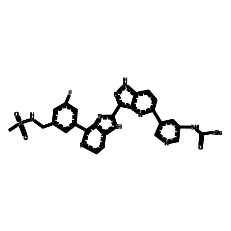 CCCCC(=O)Nc1cncc(-c2ccc3[nH]nc(-c4nc5c(-c6cc(F)cc(CNS(C)(=O)=O)c6)nccc5[nH]4)c3n2)c1